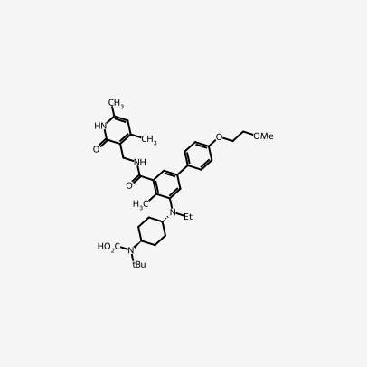 CCN(c1cc(-c2ccc(OCCOC)cc2)cc(C(=O)NCc2c(C)cc(C)[nH]c2=O)c1C)[C@H]1CC[C@H](N(C(=O)O)C(C)(C)C)CC1